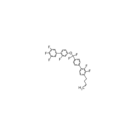 C=CCCc1ccc(-c2ccc(C(F)(F)Oc3ccc(-c4cc(F)c(F)c(F)c4)c(F)c3)cc2)c(F)c1F